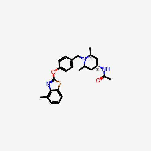 CC(=O)N[C@H]1CC(C)N(Cc2ccc(Oc3nc4c(C)cccc4s3)cc2)[C@@H](C)C1